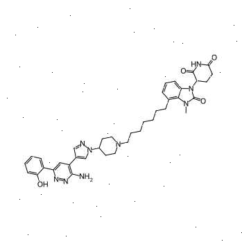 Cn1c(=O)n(C2CCC(=O)NC2=O)c2cccc(CCCCCCCN3CCC(n4cc(-c5cc(-c6ccccc6O)nnc5N)cn4)CC3)c21